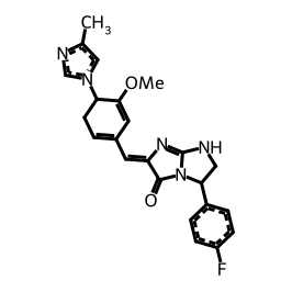 COC1=CC(/C=C2\N=C3NCC(c4ccc(F)cc4)N3C2=O)=CCC1n1cnc(C)c1